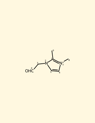 Cc1n(CC=O)cc[n+]1C